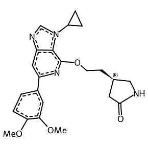 COc1ccc(-c2cc3ncn(C4CC4)c3c(OCC[C@H]3CNC(=O)C3)n2)cc1OC